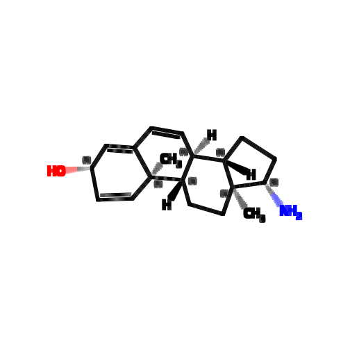 C[C@]12CC[C@H]3[C@@H](C=CC4=C[C@@H](O)C=C[C@@]43C)[C@@H]1CC[C@@H]2N